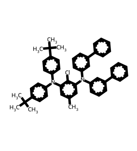 Cc1cc(N(c2ccc(C(C)(C)C)cc2)c2ccc(C(C)(C)C)cc2)c(Cl)c(N(c2cccc(-c3ccccc3)c2)c2cccc(-c3ccccc3)c2)c1